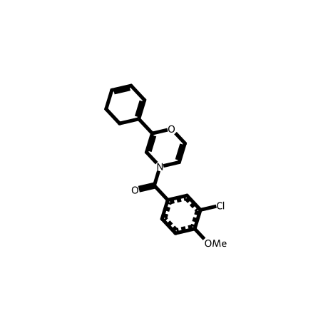 COc1ccc(C(=O)N2C=COC(C3=CC=CCC3)=C2)cc1Cl